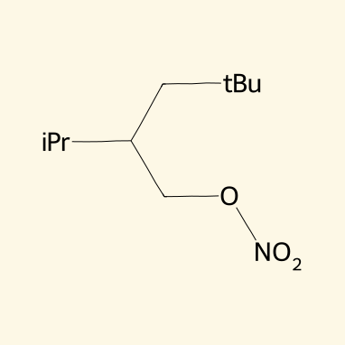 CC(C)C(CO[N+](=O)[O-])CC(C)(C)C